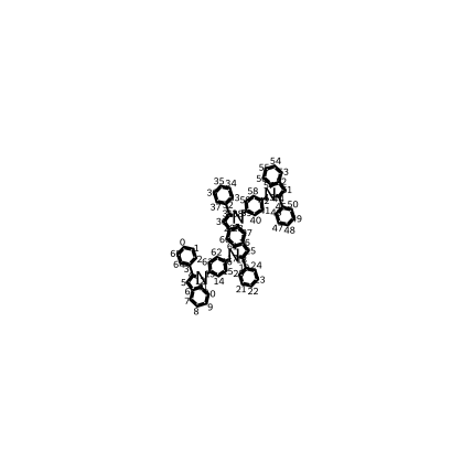 c1ccc(-c2cc3ccccc3n2-c2ccc(-n3c(-c4ccccc4)cc4cc5c(cc(-c6ccccc6)n5-c5ccc(-n6c(-c7ccccc7)cc7ccccc76)cc5)cc43)cc2)cc1